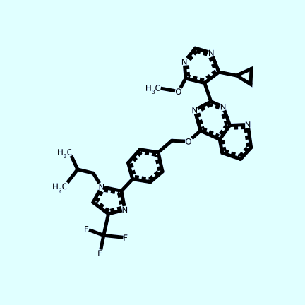 COc1ncnc(C2CC2)c1-c1nc(OCc2ccc(-c3nc(C(F)(F)F)cn3CC(C)C)cc2)c2cccnc2n1